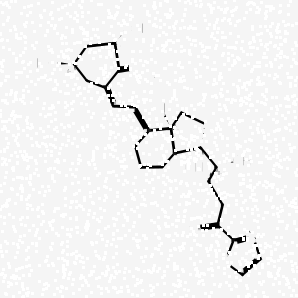 C=C1C(=CC=C2CCC[C@]3(C)[C@@H]([C@H](C)CCC(=O)c4nccs4)CC[C@@H]23)C[C@@H](O)C[C@@H]1O